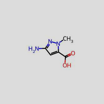 Cn1nc(N)cc1C(=O)O